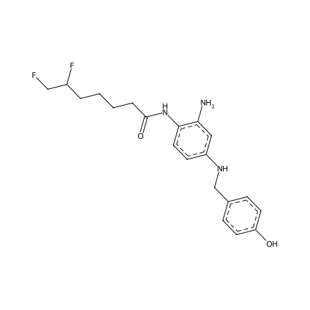 Nc1cc(NCc2ccc(O)cc2)ccc1NC(=O)CCCCC(F)CF